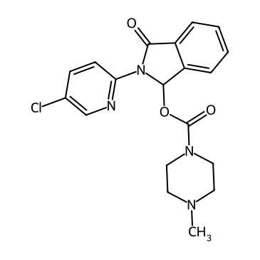 CN1CCN(C(=O)OC2c3ccccc3C(=O)N2c2ccc(Cl)cn2)CC1